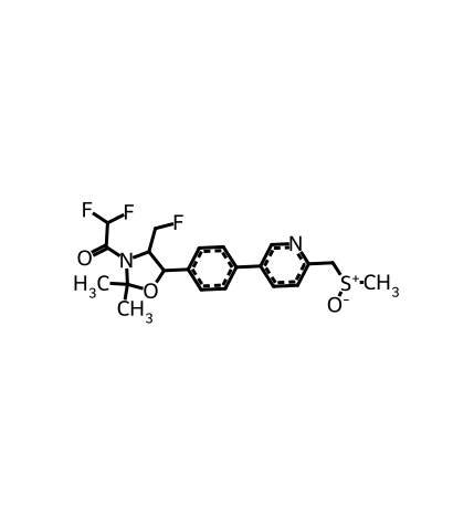 C[S+]([O-])Cc1ccc(-c2ccc(C3OC(C)(C)N(C(=O)C(F)F)C3CF)cc2)cn1